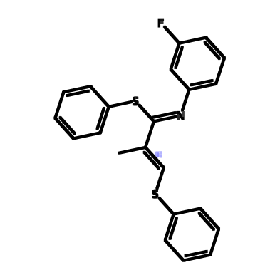 C/C(=C\Sc1ccccc1)C(=Nc1cccc(F)c1)Sc1ccccc1